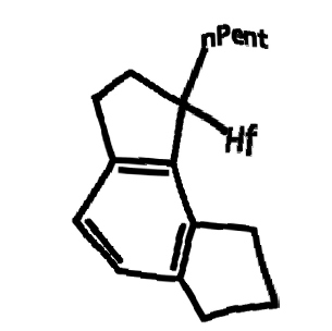 CCCCC[C]1([Hf])CCc2ccc3c(c21)CCC3